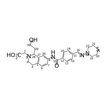 O=C(O)CN1CCc2ccc(NC(=O)c3ccc(C=NN4CCSCC4)cc3)cc2C1CCO